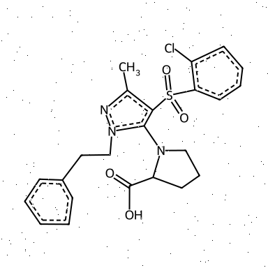 Cc1nn(CCc2ccccc2)c(N2CCCC2C(=O)O)c1S(=O)(=O)c1ccccc1Cl